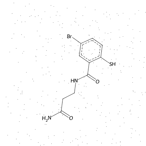 NC(=O)CCNC(=O)c1cc(Br)ccc1S